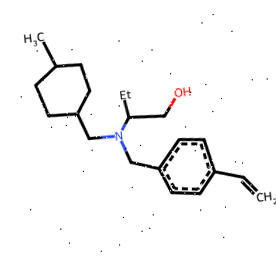 C=Cc1ccc(CN(CC2CCC(C)CC2)C(CC)CO)cc1